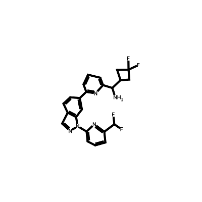 NC(c1cccc(-c2ccc3cnn(-c4cccc(C(F)F)n4)c3c2)n1)C1CC(F)(F)C1